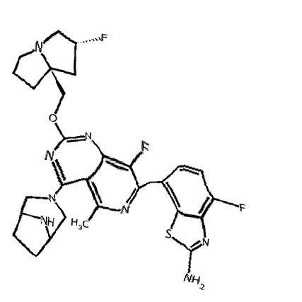 Cc1nc(-c2ccc(F)c3nc(N)sc23)c(F)c2nc(OC[C@@]34CCCN3C[C@H](F)C4)nc(N3CC4CCC(C3)N4)c12